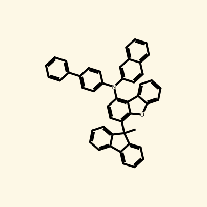 CC1(c2ccc(N(c3ccc(-c4ccccc4)cc3)c3ccc4ccccc4c3)c3c2oc2ccccc23)c2ccccc2-c2ccccc21